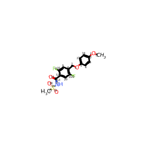 COc1ccc(OCc2cc(F)c(C(=O)NS(C)(=O)=O)cc2F)cc1